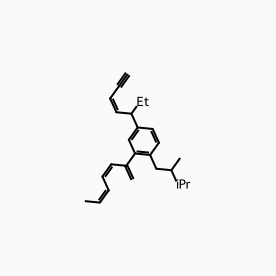 C#C/C=C\C(CC)c1ccc(CC(C)C(C)C)c(C(=C)/C=C\C=C/C)c1